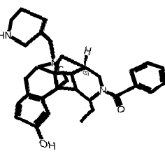 CCC1C2C3[C@@H](CN1C(=O)c1ccccc1)CC31C3Cc4ccc(O)cc4C21CCN3CC1CCCNC1